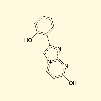 Oc1ccn2cc(-c3ccccc3O)nc2n1